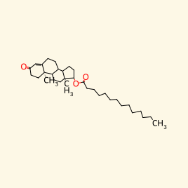 CCCCCCCCCCCCCC(=O)OC1CCC2C3CCC4=CC(=O)CC[C@]4(C)C3CC[C@]12C